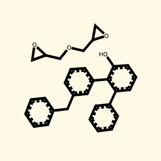 C(OCC1CO1)C1CO1.Oc1cccc(-c2ccccc2)c1-c1cccc(Cc2ccccc2)c1